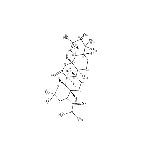 CN(C)C(=O)[C@@H]1CC(C)(C)C[C@H]2[C@@H]1CC[C@]1(C)[C@@H]2C(=O)C[C@@H]2[C@@]3(C)C=C(C#N)C(=O)C(C)(C)[C@@H]3CC[C@]21C